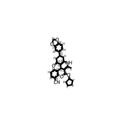 CC1=C(C(=O)OC2CCCC2)C(c2cccc(C#N)c2)C2=C(CC(c3ccc4c(c3)OCO4)CC2=O)N1